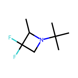 CC1N(C(C)(C)C)CC1(F)F